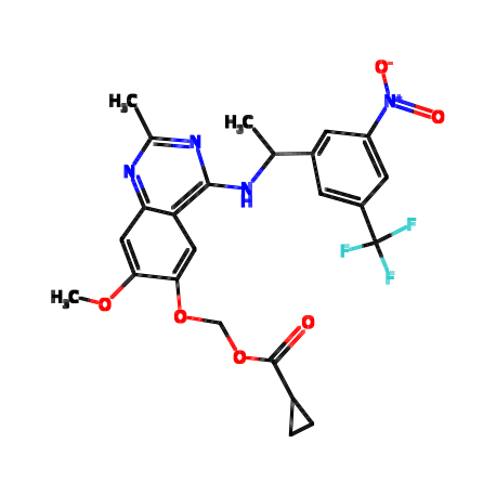 COc1cc2nc(C)nc(NC(C)c3cc([N+](=O)[O-])cc(C(F)(F)F)c3)c2cc1OCOC(=O)C1CC1